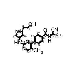 CCCC(C#N)NC(=O)c1ccc(-c2nc(Nc3cnn(CCO)c3)ncc2C)cc1